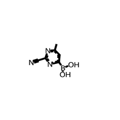 Cc1cc(B(O)O)nc(C#N)n1